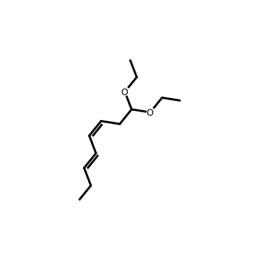 CC/C=C/C=C\CC(OCC)OCC